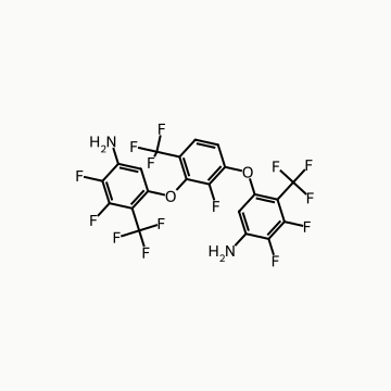 Nc1cc(Oc2ccc(C(F)(F)F)c(Oc3cc(N)c(F)c(F)c3C(F)(F)F)c2F)c(C(F)(F)F)c(F)c1F